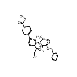 C=C(CC(C)=O)c1ccc(C2=CCN(C(=O)OC(C)(C)C)CC2)cc1[C@H](NC(=O)OCc1ccccc1)[C@@H](C)C(C)C